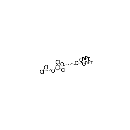 CCCOC(COCCCCCOc1c(Cl)cc(OCC=C(Cl)Cl)cc1Cl)OCCC